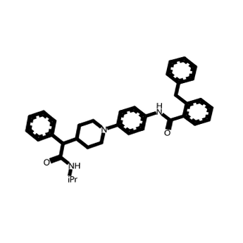 CC(C)NC(=O)C(c1ccccc1)C1CCN(c2ccc(NC(=O)c3ccccc3Cc3ccccc3)cc2)CC1